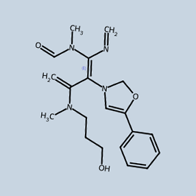 C=N/C(=C(/C(=C)N(C)CCCO)N1C=C(c2ccccc2)OC1)N(C)C=O